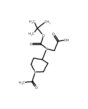 CC(=O)N1CCC(N(CC(=O)O)C(=O)OC(C)(C)C)CC1